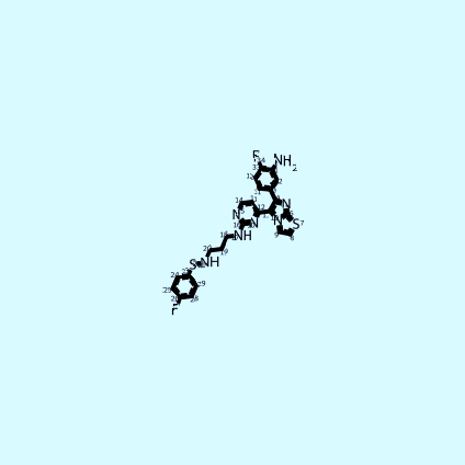 Nc1cc(-c2nc3sccn3c2-c2ccnc(NCCCNSc3ccc(F)cc3)n2)ccc1F